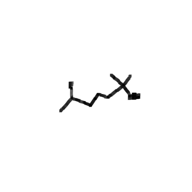 CCCCC(C)(C)CCCC(C)F